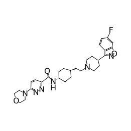 O=C(N[C@H]1CC[C@H](CCN2CCC(c3noc4cc(F)ccc34)CC2)CC1)c1ccc(N2CCOCC2)nn1